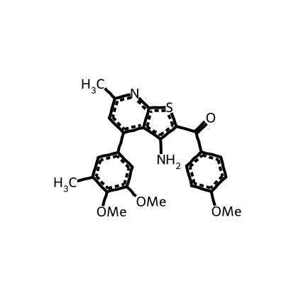 COc1ccc(C(=O)c2sc3nc(C)cc(-c4cc(C)c(OC)c(OC)c4)c3c2N)cc1